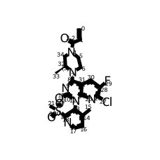 C=CC(=O)N1CCN(c2nc(=O)n(-c3c(C)ccnc3S(C)(=O)=O)c3nc(Cl)c(F)cc23)[C@@H](C)C1